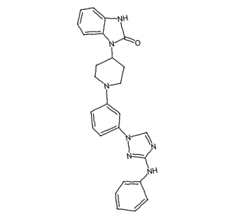 O=c1[nH]c2ccccc2n1C1CCN(c2cccc(-n3cnc(Nc4ccccc4)n3)c2)CC1